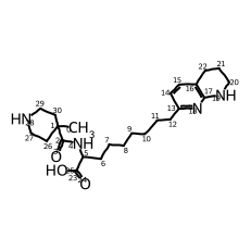 CC1(C(=O)NC(CCCCCCCc2ccc3c(n2)NCCC3)C(=O)O)CCNCC1